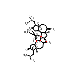 C=C1CC[C@H]2C(CN(C)C)C(=O)O[C@@H]2C2[C@H]1CC(=O)[C@]21CC[C@@]23OC(C)(C)O[C@]21C[C@H]1C(=C)CC[C@H]2C(CN(C)C)C(=O)O[C@@H]2[C@H]13